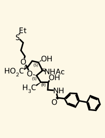 CCSCCCO[C@]1(C(=O)O)C[C@H](O)[C@@H](NC(C)=O)[C@H]([C@H](C)C(O)CNC(=O)c2ccc(-c3ccccc3)cc2)O1